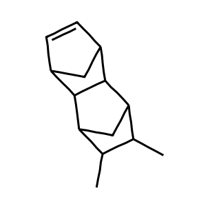 CC1C(C)C2CC1C1C3C=CC(C3)C21